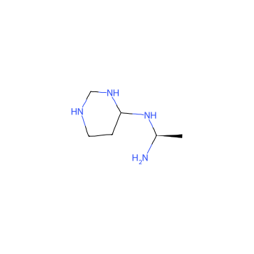 C[C@@H](N)NC1CCNCN1